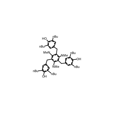 CCCCc1cc(Cc2c(NC)c(Cc3cc(CCCC)c(O)c(CCCC)c3)c(NC)c(Cc3cc(CCCC)c(O)c(CCCC)c3)c2NC)cc(CCCC)c1O